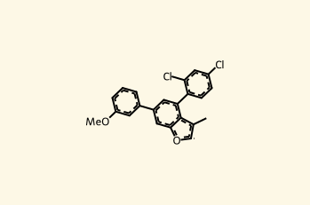 COc1cccc(-c2cc(-c3ccc(Cl)cc3Cl)c3c(C)[c]oc3c2)c1